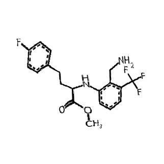 COC(=O)C(CCc1ccc(F)cc1)Nc1cccc(C(F)(F)F)c1CN